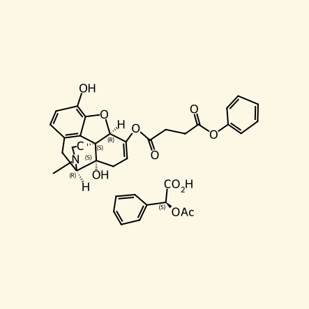 CC(=O)O[C@H](C(=O)O)c1ccccc1.CN1CC[C@]23c4c5ccc(O)c4O[C@H]2C(OC(=O)CCC(=O)Oc2ccccc2)=CC[C@@]3(O)[C@H]1C5